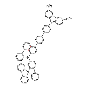 CCCc1ccc2c(c1)c1cc(CCC)ccc1n2-c1ccc(-c2ccc(-c3ccc(N(c4ccc5c(c4)C4(c6ccccc6-c6ccccc64)c4ccccc4-5)c4ccccc4-c4ccccc4)cc3)cc2)cc1